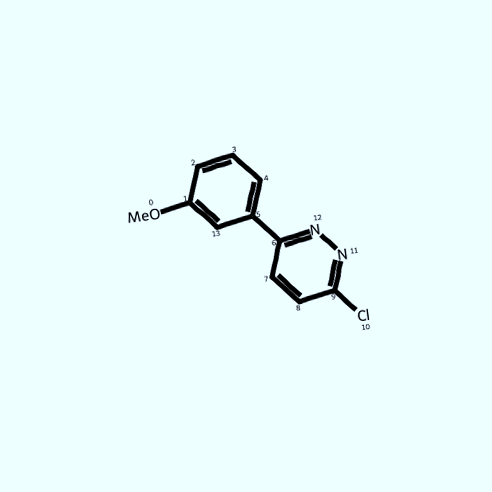 COc1cccc(-c2ccc(Cl)nn2)c1